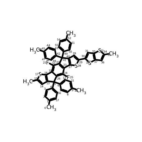 Cc1ccc(C2(c3ccc(C)cc3)c3cc(C)sc3-c3c(F)c4c(c(F)c32)-c2sc(-c3cc5sc(C)cc5s3)cc2C4(c2ccc(C)cc2)c2ccc(C)cc2)cc1